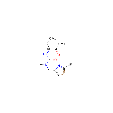 C=C(OC)[C@H](NC(=O)N(C)Cc1csc(C(C)C)n1)C(=O)OC